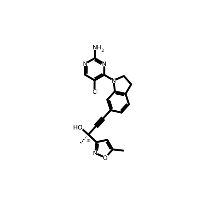 Cc1cc([C@@](C)(O)C#Cc2ccc3c(c2)N(c2nc(N)ncc2Cl)CC3)no1